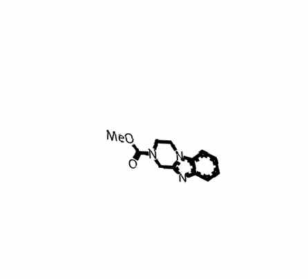 COC(=O)N1CCn2c(nc3ccccc32)C1